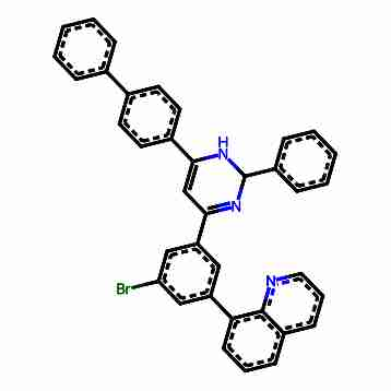 Brc1cc(C2=NC(c3ccccc3)NC(c3ccc(-c4ccccc4)cc3)=C2)cc(-c2cccc3cccnc23)c1